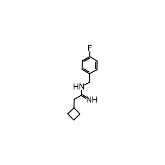 N=C(CC1CCC1)NCc1ccc(F)cc1